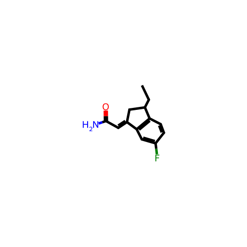 CCC1C/C(=C\C(N)=O)c2cc(F)ccc21